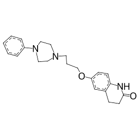 O=C1CCc2cc(OCCCN3CCN(c4ccccc4)CC3)ccc2N1